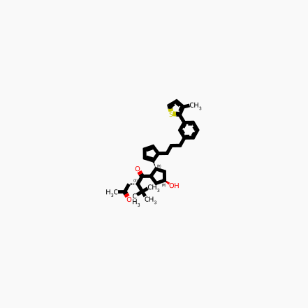 CC(=O)C[C@H](C(=O)C1C[C@H](O)C[C@H]1C1=CC=CC1CCCc1cccc(-c2sccc2C)c1)C(C)(C)C